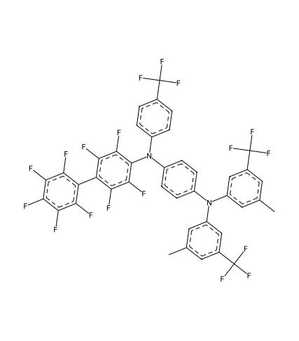 Cc1cc(N(c2ccc(N(c3ccc(C(F)(F)F)cc3)c3c(F)c(F)c(-c4c(F)c(F)c(F)c(F)c4F)c(F)c3F)cc2)c2cc(C)cc(C(F)(F)F)c2)cc(C(F)(F)F)c1